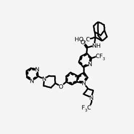 O=C(NC1(C(=O)O)C2CC3CC(C2)CC1C3)c1ccc(-c2cn(C3CN(CC(F)(F)F)C3)c3cc(OC4CCN(c5ncccn5)CC4)ccc23)nc1C(F)(F)F